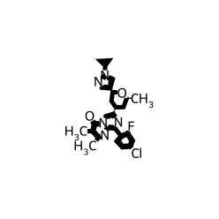 Cc1nc2c(-c3ccc(Cl)cc3F)nc([C@H]3C[C@@H](C)O[C@@H](c4cnn(C5CC5)c4)C3)cn2c(=O)c1C